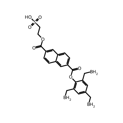 BCc1cc(CB)c(OC(=O)c2ccc3cc(C(=O)OCCS(=O)(=O)O)ccc3c2)c(CB)c1